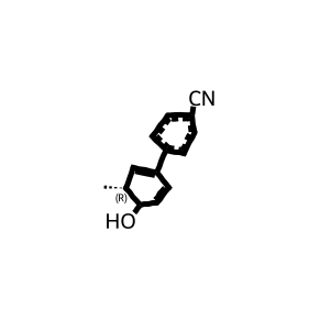 C[C@@H]1C=C(c2ccc(C#N)cc2)C=CC1O